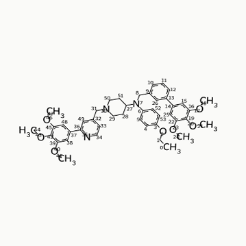 CCOc1ccc(N(Cc2cccc(-c3cc(OC)c(OC)c(OC)c3)c2)C2CCN(Cc3ccnc(-c4cc(OC)c(OC)c(OC)c4)c3)CC2)cc1